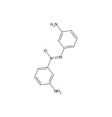 Nc1cccc(N=[N+]([O-])c2cccc(N)c2)c1